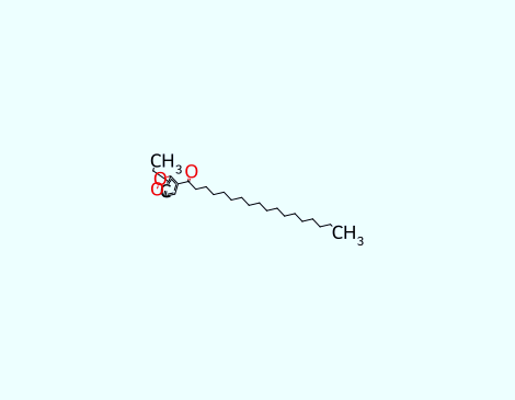 CCCCCCCCCCCCCCCCCC(=O)c1cc2cc(CC)c1OO2